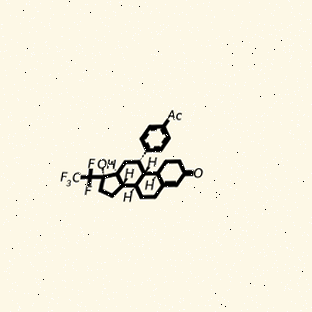 CC(=O)c1ccc([C@H]2C[C@@]3(C)[C@@H](CC[C@@]3(O)C(F)(F)C(F)(F)F)[C@@H]3CCC4=CC(=O)CC[C@@H]4[C@H]32)cc1